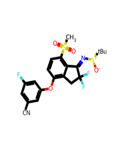 CC(C)(C)[S+]([O-])N=C1c2c(S(C)(=O)=O)ccc(Oc3cc(F)cc(C#N)c3)c2CC1(F)F